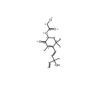 C=CC(C)(O)/C=C/C1=C(C)C(=O)C(OC(=O)CCl)CC1(C)C